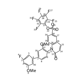 COc1cc(F)cc(-c2ccc(-n3c(=O)ccc4cc(S(=O)(=O)Oc5c(F)c(F)c(F)c(F)c5F)ccc43)c(OC)c2)c1